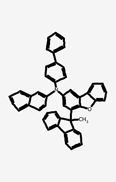 CC1(c2cc(N(c3ccc(-c4ccccc4)cc3)c3ccc4ccccc4c3)cc3c2oc2ccccc23)c2ccccc2-c2ccccc21